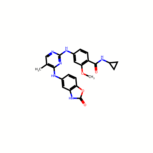 COc1cc(Nc2ncc(C)c(Nc3ccc4oc(=O)[nH]c4c3)n2)ccc1C(=O)NC1CC1